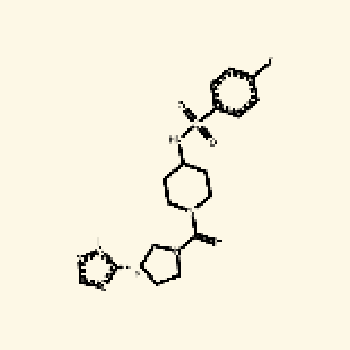 O=C(N1CCC(NS(=O)(=O)c2ccc(F)cc2)CC1)N1CC[C@H](c2ncn[nH]2)C1